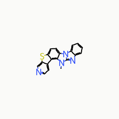 Cn1c2c3c(ccc2n2c4ccccc4nc12)sc1cnccc13